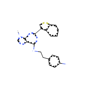 CC(C)n1cnc2c(NCCc3ccc(N)cc3)nc(-c3csc4ccccc34)nc21